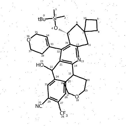 CC(C)(C)[Si](C)(C)O[C@@H]1CC2(CCC2)Cc2nc(C3CCOCC3)c(C(O)c3ccc(C(F)(F)F)c(C#N)c3)c(C3=CCOCC3)c21